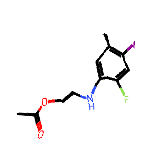 CC(=O)OCCNc1cc(C)c(I)cc1F